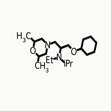 CCN(C(C)C)C(COC1CCCCC1)CN1CC(C)OC(C)C1